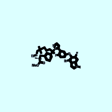 CCSCC(C)(C)CCCC(C)(c1cccc(C[C@@H](C)C(=O)OC)c1)n1nccc1-c1cc(Oc2c(F)cc3c(ccn3I)c2Br)ccc1F